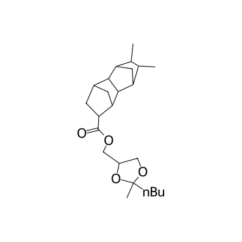 CCCCC1(C)OCC(COC(=O)C2CC3CC2C2C4CC(C(C)C4C)C32)O1